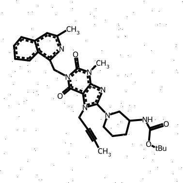 CC#CCn1c(N2CCCC(NC(=O)OC(C)(C)C)C2)nc2c1c(=O)n(Cc1nc(C)cc3ccccc13)c(=O)n2C